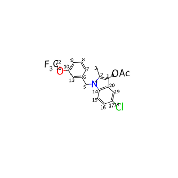 CC(=O)Oc1c(C)n(Cc2cccc(OC(F)(F)F)c2)c2ccc(Cl)cc12